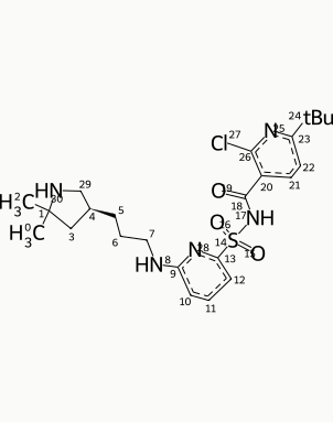 CC1(C)C[C@H](CCCNc2cccc(S(=O)(=O)NC(=O)c3ccc(C(C)(C)C)nc3Cl)n2)CN1